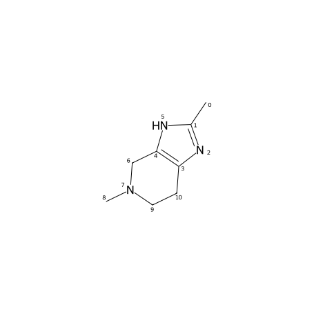 Cc1nc2c([nH]1)CN(C)CC2